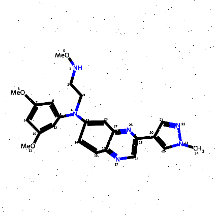 CONCCN(c1cc(OC)cc(OC)c1)c1ccc2ncc(-c3cnn(C)c3)nc2c1